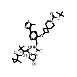 Cc1ncsc1-c1ccc(CNC(=O)[C@@H]2C[C@@H](O)CN2C(=O)[C@@H](NC(=O)C2(F)CC2)C(C)(C)C)c(OC2CC3(CCN(C(=O)OC(C)(C)C)CC3)C2)c1